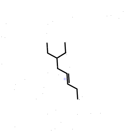 [CH2]C/C=C/CC(CC)CC